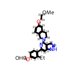 CCc1cc(OC=O)ccc1-c1cc2[nH]ncc2c(N2CCc3cc(OCCOC)ccc3C2)n1